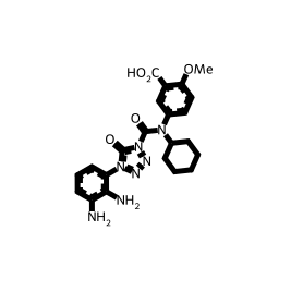 COc1ccc(N(C(=O)n2nnn(-c3cccc(N)c3N)c2=O)C2CCCCC2)cc1C(=O)O